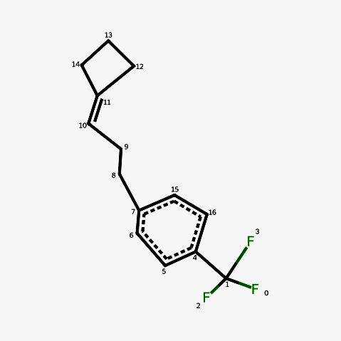 FC(F)(F)c1ccc(CCC=C2CCC2)cc1